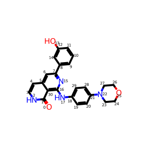 O=c1[nH]ccc2cc(-c3cccc(O)c3)nc(Nc3ccc(N4CCOCC4)cc3)c12